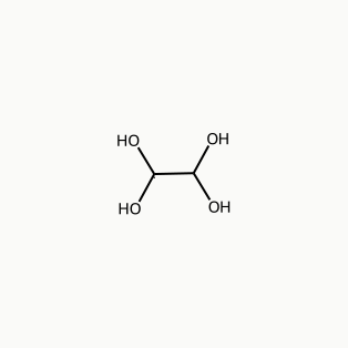 O[C](O)C(O)O